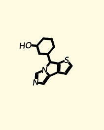 OC1CCCC(C2c3sccc3-c3cncn32)C1